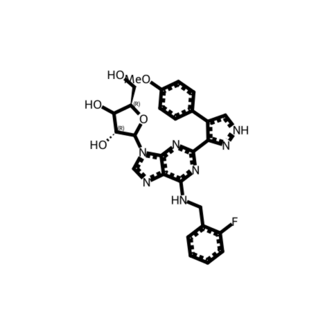 COc1ccc(-c2c[nH]nc2-c2nc(NCc3ccccc3F)c3ncn(C4O[C@H](CO)C(O)[C@H]4O)c3n2)cc1